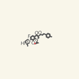 COc1c(N2CCNC(C)C2)c(F)cc2c(=O)c(C(=O)C=Cc3ccc(C)cc3)cn(C3CC3)c12